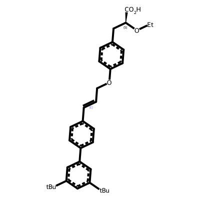 CCO[C@@H](Cc1ccc(OC/C=C/c2ccc(-c3cc(C(C)(C)C)cc(C(C)(C)C)c3)cc2)cc1)C(=O)O